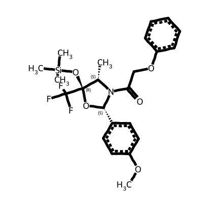 COc1ccc([C@@H]2O[C@](O[Si](C)(C)C)(C(F)(F)F)[C@H](C)N2C(=O)COc2ccccc2)cc1